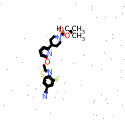 CC(C)(C)OC(=O)N1CCC(c2cccc(OCc3nc4c(F)cc(C#N)cc4s3)n2)CC1